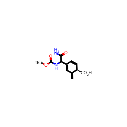 C=C1C=C(C(NC(=O)OC(C)(C)C)C(N)=O)C=C[C@H]1C(=O)O